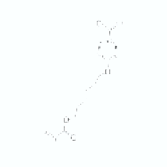 C=C(C)C(=O)OCCCCCCOc1ccc(C(=O)Cl)cc1